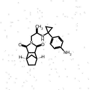 C=C(CN1C(=O)C2C(C1=O)[C@H]1CC[C@@H]2C1)NC1(c2ccc(N)cc2)CC1